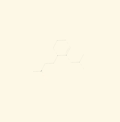 CC(=O)CCC1CCCC=C1CC(C)C